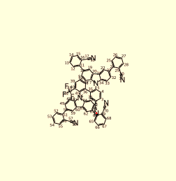 N#Cc1ccc(-n2c3ccc(-c4ccccc4C#N)cc3c3cc(-c4ccccc4C#N)ccc32)c(-c2cccc(C(F)(F)F)c2-n2c3ccc(-c4ccccc4C#N)cc3c3cc(-c4ccccc4C#N)ccc32)c1